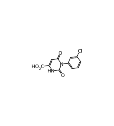 O=C(O)c1cc(=O)n(-c2cccc(Cl)c2)c(=O)[nH]1